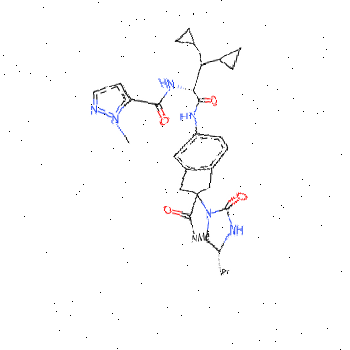 CNC(=O)C1(N2C[C@@H](C(C)C)NC2=O)Cc2ccc(NC(=O)[C@H](NC(=O)c3ccnn3C)C(C3CC3)C3CC3)cc2C1